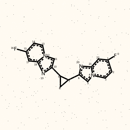 Fc1ccn2cc(C3CC3c3cn4ccc(F)cc4n3)nc2c1